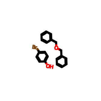 Oc1ccc(Br)cc1.c1ccc(COCc2ccccc2)cc1